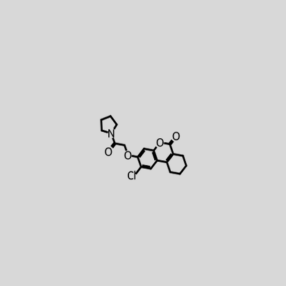 O=C(COc1cc2oc(=O)c3c(c2cc1Cl)CCCC3)N1CCCC1